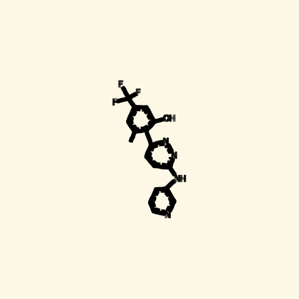 Cc1cc(C(F)(F)F)cc(O)c1-c1ccc(Nc2cccnc2)nn1